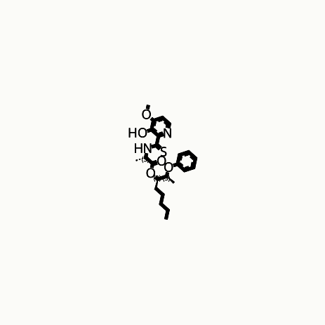 CCCCC[C@@H](OC(=O)[C@H](C)NC(=S)c1nccc(OC)c1O)[C@H](C)Oc1ccccc1